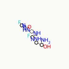 C=C(N[C@H]1CC[C@@H](NC(=O)c2cn3cc(F)ccc3n2)CC1)c1cc(F)cnc1Nc1cccc(-c2ccc(O)cc2CN)c1